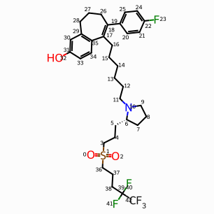 O=S(=O)(CCC[C@H]1CCCN1CCCCCCC1=C(c2ccc(F)cc2)CCCc2cc(O)ccc21)CCCC(F)(F)C(F)(F)F